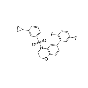 O=S(=O)(c1cccc(C2CC2)c1)N1CCOc2ccc(-c3cc(F)ccc3F)cc21